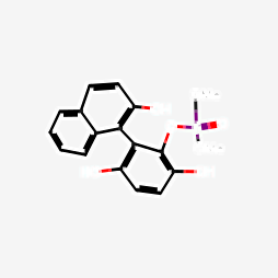 COP(=O)(OC)Oc1c(O)ccc(O)c1-c1c(O)ccc2ccccc12